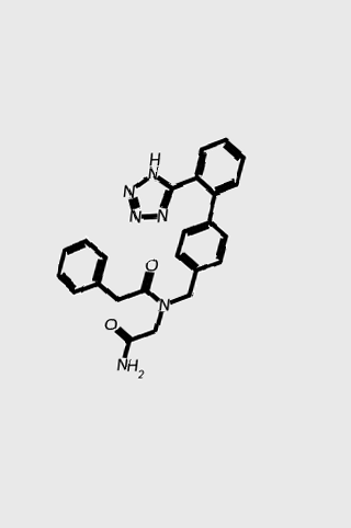 NC(=O)CN(Cc1ccc(-c2ccccc2-c2nnn[nH]2)cc1)C(=O)Cc1ccccc1